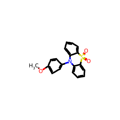 COc1ccc(N2c3ccccc3S(=O)(=O)c3ccccc32)cc1